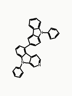 c1ccc(-n2c3ccccc3c3cc(-c4cccc5c4c4ccncc4n5-c4ccccc4)ccc32)cc1